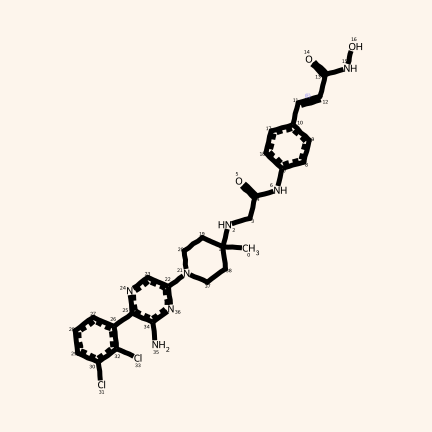 CC1(NCC(=O)Nc2ccc(/C=C/C(=O)NO)cc2)CCN(c2cnc(-c3cccc(Cl)c3Cl)c(N)n2)CC1